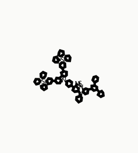 c1ccc(-c2cc(-c3ccccc3)cc(-c3ccc(N(c4ccccc4)c4ccc(-c5ccc(-n6c7ccc(-c8ccc([Si](c9ccccc9)(c9ccccc9)c9ccccc9)cc8)cc7c7cc(-c8ccc([Si](c9ccccc9)(c9ccccc9)c9ccccc9)cc8)ccc76)cc5)c5nsnc45)cc3)c2)cc1